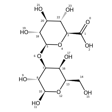 O=C(O)[C@H]1O[C@@H](O[C@@H]2[C@@H](O)[C@H](O)O[C@H](CO)[C@@H]2O)[C@H](O)[C@@H](O)[C@@H]1O